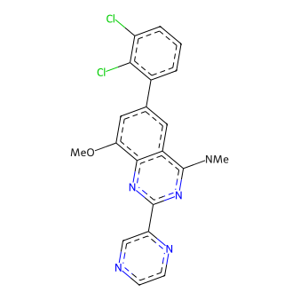 CNc1nc(-c2cnccn2)nc2c(OC)cc(-c3cccc(Cl)c3Cl)cc12